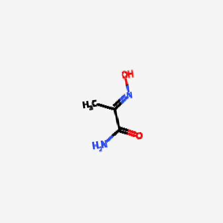 C/C(=N\O)C(N)=O